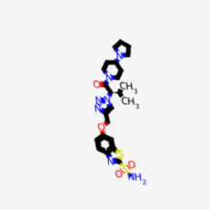 CC(C)[C@@H](C(=O)N1CCC(N2CCCC2)CC1)n1cc(COc2ccc3nc(S(N)(=O)=O)sc3c2)nn1